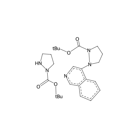 CC(C)(C)OC(=O)N1CCCN1.CC(C)(C)OC(=O)N1CCCN1c1cncc2ccccc12